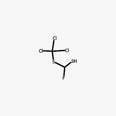 FC(S)SC(Cl)(Cl)Cl